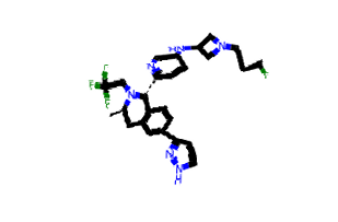 C[C@@H]1Cc2cc(-c3cc[nH]n3)ccc2[C@@H](c2ccc(NC3CN(CCCF)C3)cn2)N1CC(F)(F)F